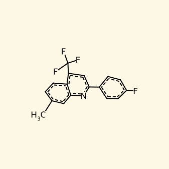 Cc1ccc2c(C(F)(F)F)cc(-c3ccc(F)cc3)nc2c1